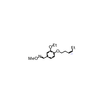 CC/C=C\CCOc1ccc(C=NOC)cc1OCC